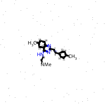 CNCCNc1nc(/C=C/c2ccc(C)cc2)nc2ccc(C)cc12